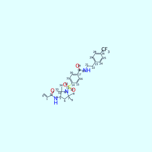 C=CC(=O)NC1CC(C)(C)N(S(=O)(=O)c2ccc(C(=O)NCCc3ccc(C(F)(F)F)cc3)cc2)C1(C)C